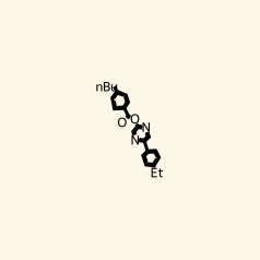 CCCCc1ccc(C(=O)Oc2cnc(-c3ccc(CC)cc3)cn2)cc1